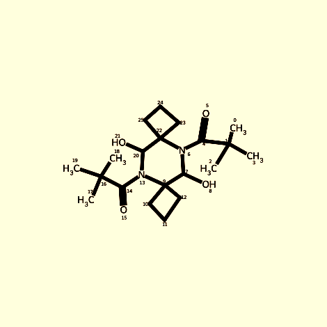 CC(C)(C)C(=O)N1C(O)C2(CCC2)N(C(=O)C(C)(C)C)C(O)C12CCC2